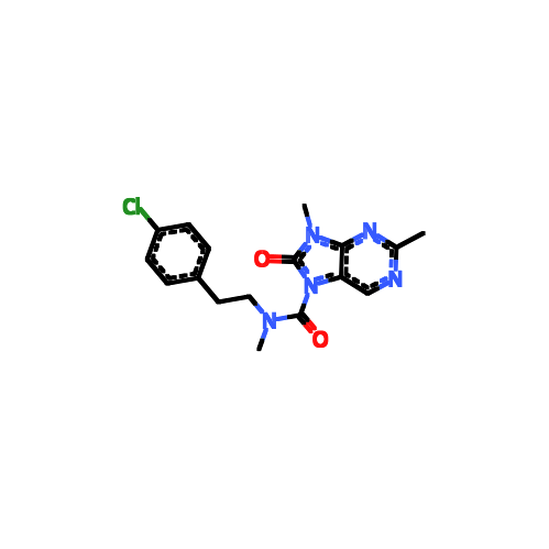 Cc1ncc2c(n1)n(C)c(=O)n2C(=O)N(C)CCc1ccc(Cl)cc1